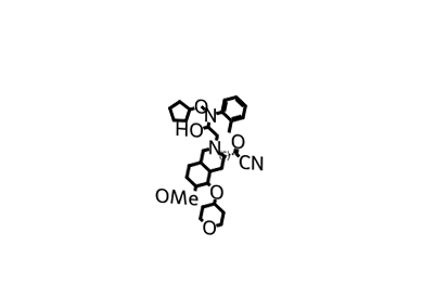 COC1CCC2CN(CC(O)N(OC3CCCC3)c3ccccc3C)[C@H](C(=O)C#N)CC2C1OC1CCOCC1